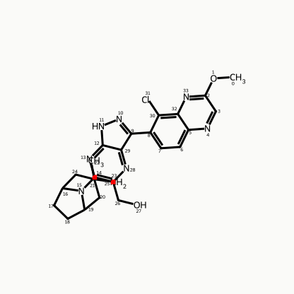 COc1cnc2ccc(-c3n[nH]c4nc(N5C6CCC5CC(C)(N)C6)c(CO)nc34)c(Cl)c2n1